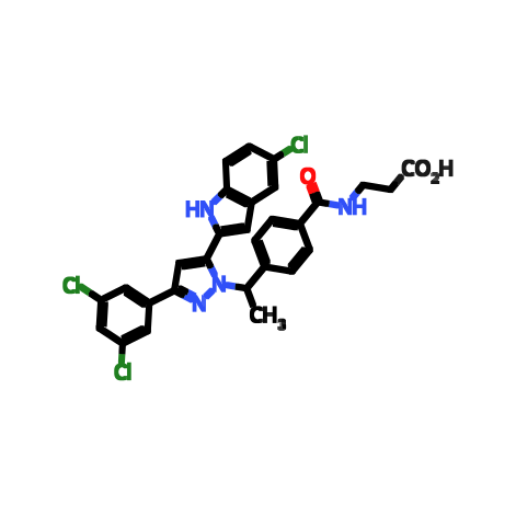 CC(c1ccc(C(=O)NCCC(=O)O)cc1)n1nc(-c2cc(Cl)cc(Cl)c2)cc1-c1cc2cc(Cl)ccc2[nH]1